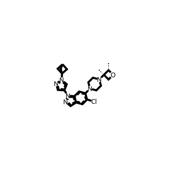 C[C@@H]1OC[C@@]1(C)N1CCN(c2cc3c(cnn3-c3cnn(C45CC(C4)C5)c3)cc2Cl)CC1